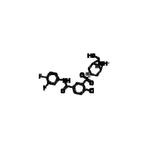 C[C@H]1CC2C[C@@H](S(=O)(=O)c3cc(C(=O)Nc4ccc(F)c(F)c4)ccc3Cl)CC1[C@@]2(O)CO